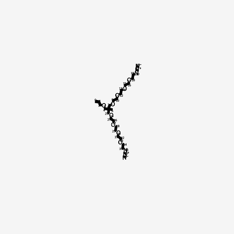 C=CCOCC(C)(COCCOCCOCCOCCN=[N+]=[N-])COCCOCCOCCOCCN=[N+]=[N-]